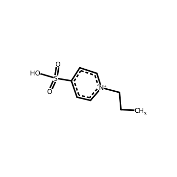 CCC[n+]1ccc(S(=O)(=O)O)cc1